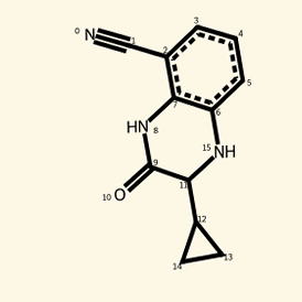 N#Cc1cccc2c1NC(=O)C(C1CC1)N2